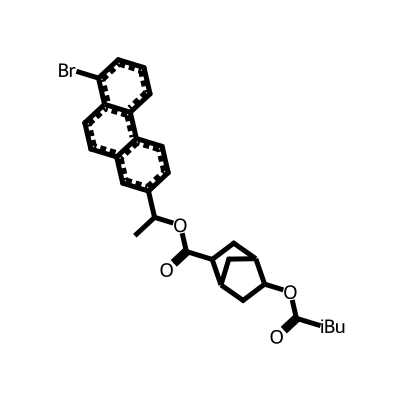 CCC(C)C(=O)OC1CC2CC1CC2C(=O)OC(C)c1ccc2c(ccc3c(Br)cccc32)c1